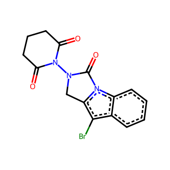 O=C1CCCC(=O)N1N1Cc2c(Br)c3ccccc3n2C1=O